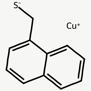 [Cu+].[S-]Cc1cccc2ccccc12